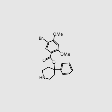 COc1cc(OC)c(C(=O)OC2(c3ccccc3)CCNCC2)cc1Br